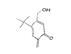 C=C1C=C(C(C)(C)C)C(CO)=CC1=O